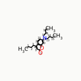 CCCCc1cc(=O)oc2cc(N(CCCC)CCCC)ccc12